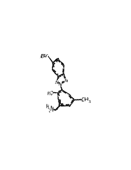 Cc1cc(CN)c(O)c(-n2nc3ccc(Br)cc3n2)c1